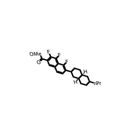 CCCC1CC[C@@H]2CC(c3ccc4cc(C(=O)OC)c(F)c(F)c4c3F)CC[C@H]2C1